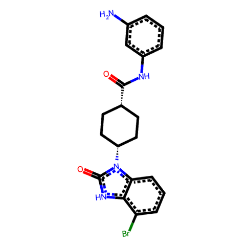 Nc1cccc(NC(=O)[C@H]2CC[C@@H](n3c(=O)[nH]c4c(Br)cccc43)CC2)c1